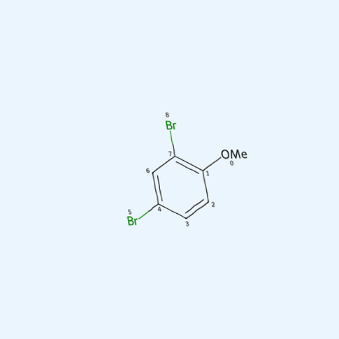 [CH2]Oc1ccc(Br)cc1Br